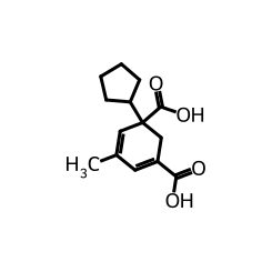 CC1=CC(C(=O)O)(C2CCCC2)CC(C(=O)O)=C1